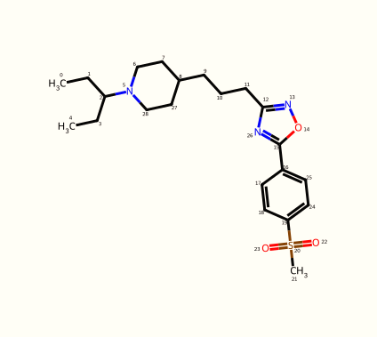 CCC(CC)N1CCC(CCCc2noc(-c3ccc(S(C)(=O)=O)cc3)n2)CC1